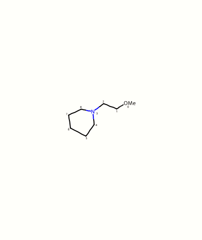 COCCN1CC[CH]CC1